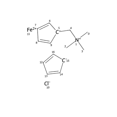 C[N+](C)(C)C[c-]1cccc1.[Cl-].[Fe+2].c1cc[cH-]c1